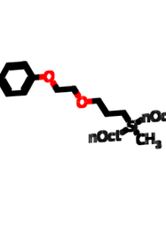 CCCCCCCC[Si](C)(CCCCCCCC)CCCOCCOc1ccccc1